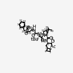 CC(=O)C(=O)C(CC1CCC1)NC(=O)[C@@H]1C2C(CN1C(=O)[C@@H](NC(=O)N[C@H](CS(=O)(=O)Cc1ccccc1)C(C)C)C(C)(C)C)C2(C)C